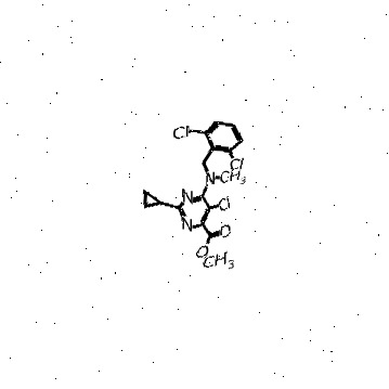 COC(=O)c1nc(C2CC2)nc(N(C)Cc2c(Cl)cccc2Cl)c1Cl